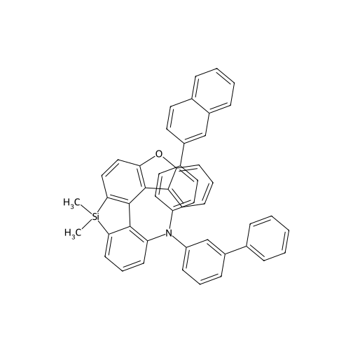 C[Si]1(C)c2cccc(N(c3ccc(-c4ccc5ccccc5c4)cc3)c3cccc(-c4ccccc4)c3)c2-c2c1ccc1oc3ccccc3c21